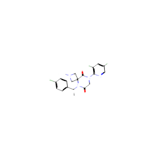 C[C@@H](c1ccc(Cl)cc1)N1C(=O)CN(c2ncc(Cl)cc2F)C(=O)C12CN(C=O)C2